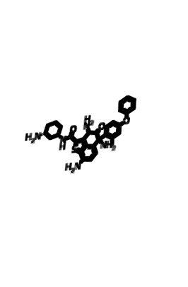 Cc1cc(Oc2ccccc2)ccc1C1(N)C(=O)C(N)c2c(C(=O)N[C@@H]3CCC[C@@H](N)C3)sc3c(N)ccc1c23